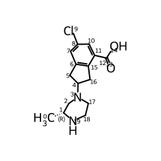 C[C@@H]1CN(C2Cc3cc(Cl)cc(C(=O)O)c3C2)CCN1